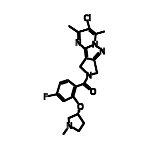 Cc1nc2c3c(nn2c(C)c1Cl)CN(C(=O)c1ccc(F)cc1O[C@H]1CCN(C)C1)C3